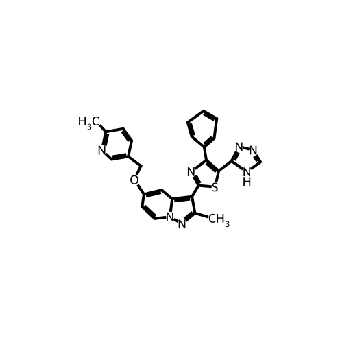 Cc1ccc(COc2ccn3nc(C)c(-c4nc(-c5ccccc5)c(-c5nnc[nH]5)s4)c3c2)cn1